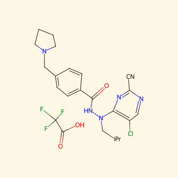 CC(C)CN(NC(=O)c1ccc(CN2CCCC2)cc1)c1nc(C#N)ncc1Cl.O=C(O)C(F)(F)F